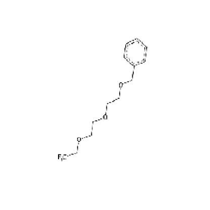 FC(F)(F)COCCOCCOCc1ccccc1